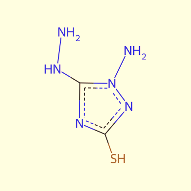 NNc1nc(S)nn1N